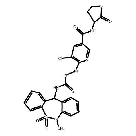 CN1c2ccccc2C(NC(=S)NNc2ncc(C(=O)NC3CCSC3=O)cc2Cl)c2ccccc2S1(=O)=O